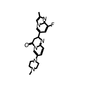 Cc1cn2cc(C3CC(=O)N4C=C(N5CCN(C)CC5)C=CC4=N3)cc(F)c2n1